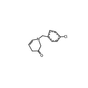 O=C1CC=CN(Cc2ccc(Cl)cc2)C1